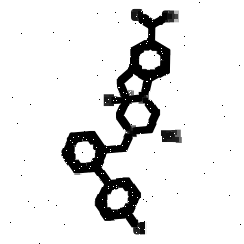 Cl.O=C(O)c1ccc2c(c1)C[C@H]1CN(Cc3ccccc3-c3ccc(Cl)cc3)CCN21